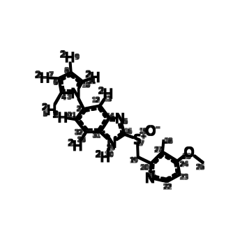 [2H]c1c(-n2c([2H])c([2H])c([2H])c2[2H])c([2H])c2nc([S+]([O-])Cc3nccc(OC)c3C)n([2H])c2c1[2H]